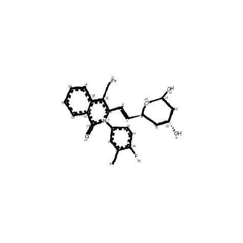 Cc1cc(-n2c(C=C[C@@H]3C[C@@H](O)CC(O)O3)c(C(C)C)c3ccccc3c2=O)ccc1F